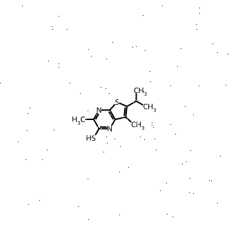 Cc1nc2sc(C(C)C)c(C)c2nc1S